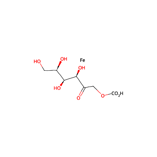 O=C(O)OCC(=O)[C@H](O)[C@@H](O)[C@H](O)CO.[Fe]